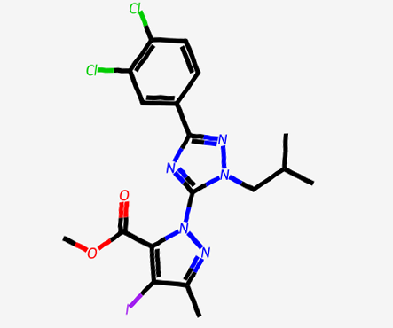 COC(=O)c1c(I)c(C)nn1-c1nc(-c2ccc(Cl)c(Cl)c2)nn1CC(C)C